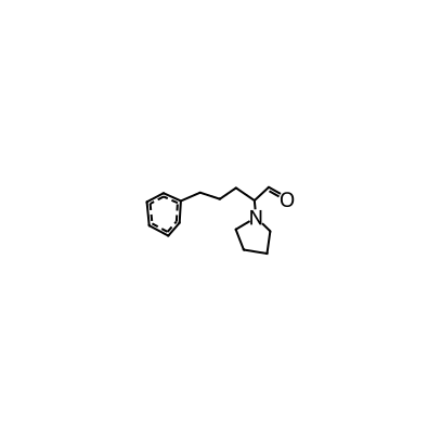 O=CC(CCCc1ccccc1)N1CCCC1